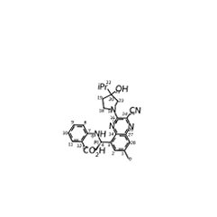 Cc1cc([C@@H](C)Nc2ccccc2C(=O)O)c2nc(N3CCC(O)(C(C)C)C3)c(C#N)nc2c1